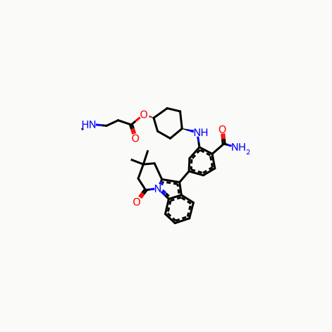 CNCCC(=O)O[C@H]1CC[C@H](Nc2cc(-c3c4n(c5ccccc35)C(=O)CC(C)(C)C4)ccc2C(N)=O)CC1